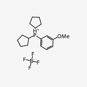 COc1cccc([PH+](C2CCCC2)C2CCCC2)c1.F[B-](F)(F)F